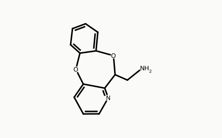 NCC1Oc2ccccc2Oc2cccnc21